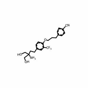 N#Cc1ccc(CCCOc2ccc(CCC(N)(CO)CO)cc2C(F)(F)F)cc1